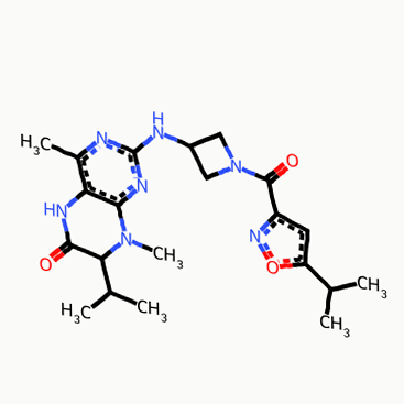 Cc1nc(NC2CN(C(=O)c3cc(C(C)C)on3)C2)nc2c1NC(=O)C(C(C)C)N2C